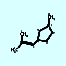 CC(C)=CC1CCN(C)C1